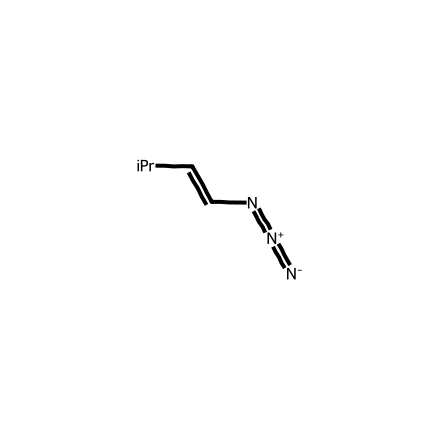 CC(C)C=CN=[N+]=[N-]